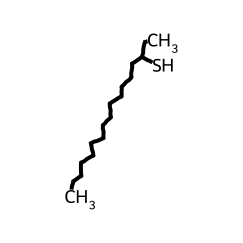 CCCCCCCCCCCCCCC(S)CC